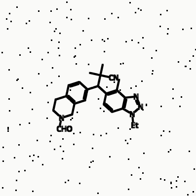 CCn1nnc2c(C)c(C(c3ccc4c(c3)CN(C=O)CC4)C(C)(C)C#N)ccc21